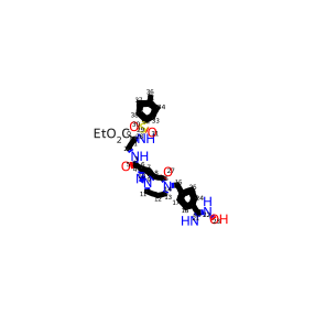 CCOC(=O)[C@@H](CNC(=O)c1cc2n(n1)CCCN(Cc1ccc(C(=N)NO)cc1)C2=O)NS(=O)(=O)c1ccc(C)cc1